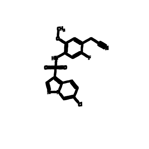 COc1cc(CC#N)c(F)cc1NS(=O)(=O)c1cnn2cc(Cl)ccc12